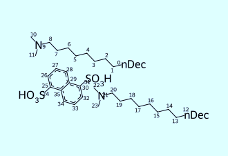 CCCCCCCCCCCCCCCCCCN(C)C.CCCCCCCCCCCCCCCCCCN(C)C.O=S(=O)(O)c1cccc2c(S(=O)(=O)O)cccc12